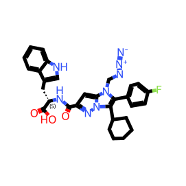 [N-]=[N+]=NCn1c(-c2ccc(F)cc2)c(C2CCCCC2)n2nc(C(=O)N[C@@H](Cc3c[nH]c4ccccc34)C(=O)O)cc12